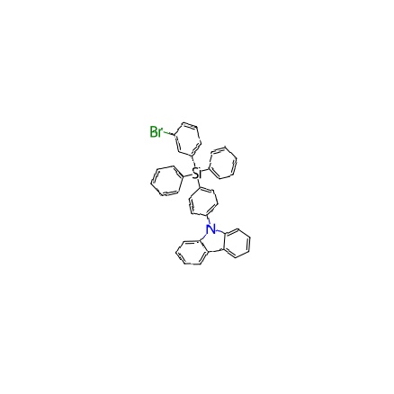 Brc1cccc([Si](c2ccccc2)(c2ccccc2)c2ccc(-n3c4ccccc4c4ccccc43)cc2)c1